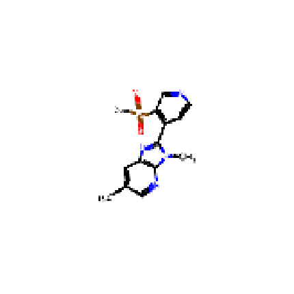 CCS(=O)(=O)c1cnccc1-c1nc2cc(C)cnc2n1C